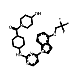 O=C(C1CCC(Nc2nccc(-n3ccc4c(OCC(F)(F)F)cccc43)n2)CC1)N1CCC(O)CC1